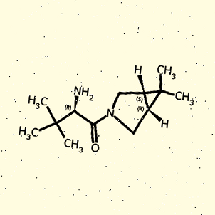 CC(C)(C)[C@@H](N)C(=O)N1C[C@@H]2[C@H](C1)C2(C)C